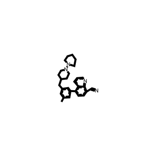 Cc1cc(CC2CCN(N3CCCCC3)CC2)cc(-c2ccc(C#N)c3ncccc23)c1